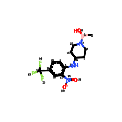 CB(O)N1CCC(Nc2ccc(C(F)(F)F)cc2[N+](=O)[O-])CC1